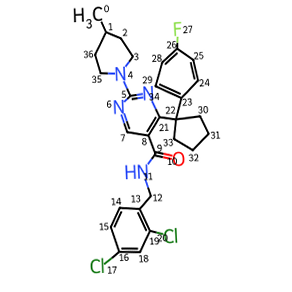 CC1CCN(c2ncc(C(=O)NCc3ccc(Cl)cc3Cl)c(C3(c4ccc(F)cc4)CCCC3)n2)CC1